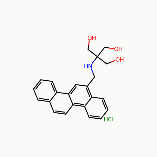 Cl.OCC(CO)(CO)NCc1cc2c3ccccc3ccc2c2ccccc12